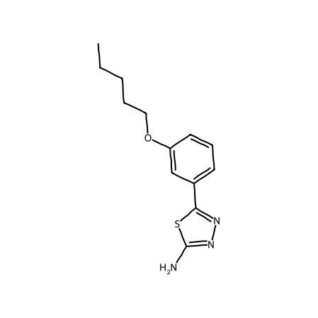 CCCCCOc1cccc(-c2nnc(N)s2)c1